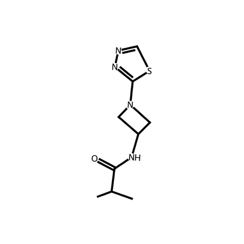 CC(C)C(=O)NC1CN(c2nncs2)C1